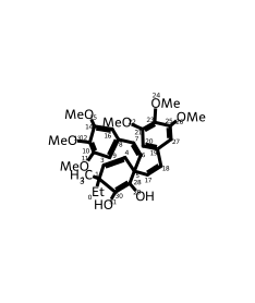 CCC1(C)C=CC(/C=C\c2cc(OC)c(OC)c(OC)c2)(/C=C\c2cc(OC)c(OC)c(OC)c2)C(O)=C1O